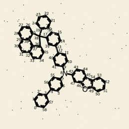 c1ccc(-c2ccc(N(c3ccc(-c4cccc(C5(c6ccccc6)c6cccc7ccc8cccc5c8c67)c4)cc3)c3ccc4c(c3)oc3ccccc34)cc2)cc1